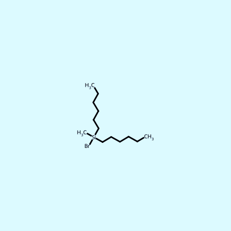 CCCCCC[Si](C)(Br)CCCCCC